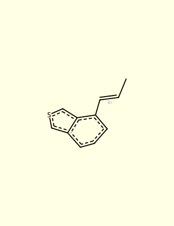 C/C=C/c1cccc2cscc12